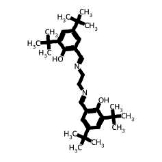 CC(C)(C)c1cc(C=NCCN=Cc2cc(C(C)(C)C)cc(C(C)(C)C)c2O)c(O)c(C(C)(C)C)c1